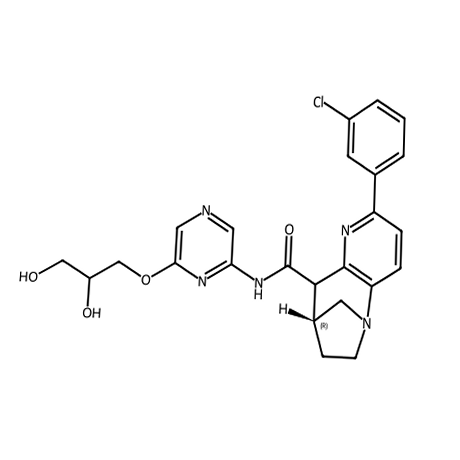 O=C(Nc1cncc(OCC(O)CO)n1)C1c2nc(-c3cccc(Cl)c3)ccc2N2CC[C@H]1C2